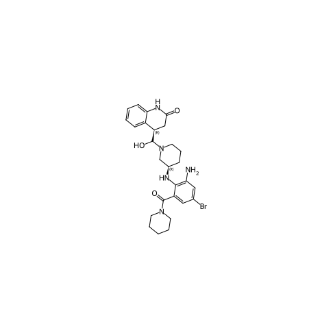 Nc1cc(Br)cc(C(=O)N2CCCCC2)c1N[C@@H]1CCCN(C(O)[C@@H]2CC(=O)Nc3ccccc32)C1